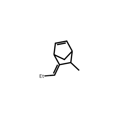 CCC=C1C2C=CC(C2)C1C